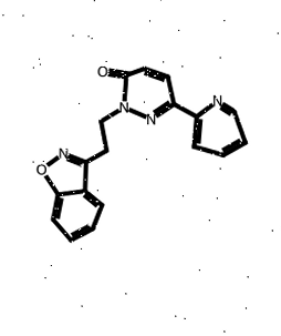 O=c1ccc(-c2ccccn2)nn1CCc1noc2ccccc12